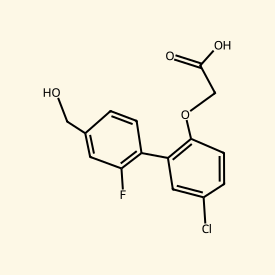 O=C(O)COc1ccc(Cl)cc1-c1ccc(CO)cc1F